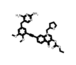 CCOC(=O)Oc1cn(CC2CCCO2)c2cc(C#Cc3cc(Cc4cnc(N)nc4N)cc(OC)c3OC)ccc2c1=O